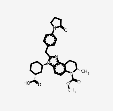 COC(=O)N1c2ccc3c(nc(Cc4ccc(N5CCCC5=O)cc4)n3[C@@H]3CCC[C@@H](C(=O)O)C3)c2CC[C@@H]1C